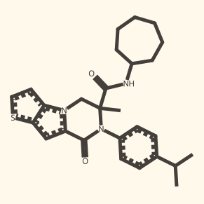 CC(C)c1ccc(N2C(=O)c3cc4sccc4n3CC2(C)C(=O)NC2CCCCCC2)cc1